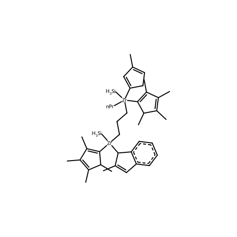 [CH2]C[CH2][Zr]([SiH3])([CH2]C[CH2][Zr]([SiH3])([C]1=C(C)C(C)=C(C)C1C)[CH]1C(C)=Cc2ccccc21)([C]1=CC(C)=CC1)[C]1=C(C)C(C)=C(C)C1C